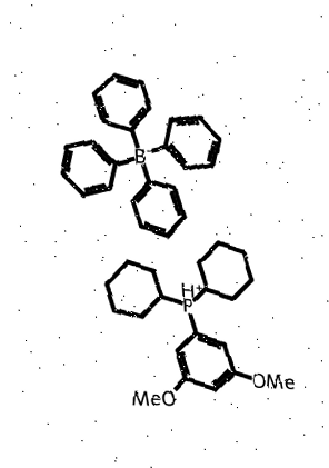 COc1cc(OC)cc([PH+](C2CCCCC2)C2CCCCC2)c1.c1ccc([B-](c2ccccc2)(c2ccccc2)c2ccccc2)cc1